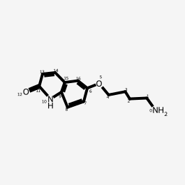 NCCCCOc1ccc2[nH]c(=O)ccc2c1